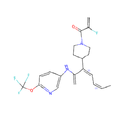 C=C(F)C(=O)N1CCC(/C(=C/C=C\C)C(=C)Nc2ccc(OC(F)(F)F)nc2)CC1